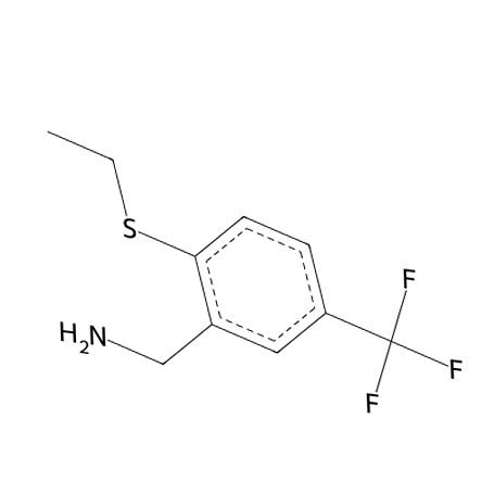 CCSc1ccc(C(F)(F)F)cc1CN